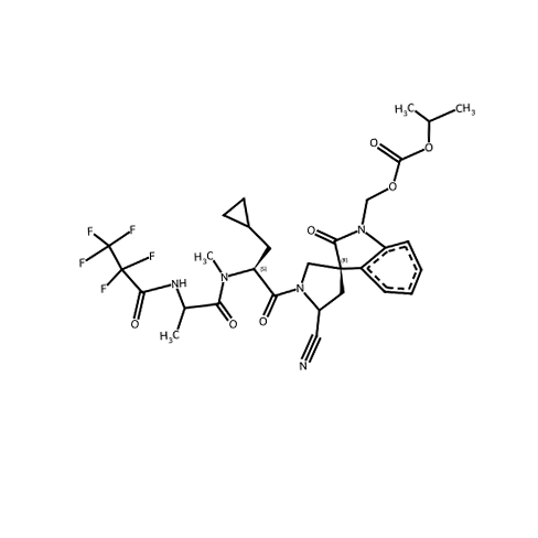 CC(C)OC(=O)OCN1C(=O)[C@]2(CC(C#N)N(C(=O)[C@H](CC3CC3)N(C)C(=O)C(C)NC(=O)C(F)(F)C(F)(F)F)C2)c2ccccc21